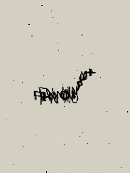 C[C@@H]1CN(c2cnc(C(F)(F)F)cn2)C[C@H](C)N1C(=O)NCC1CC2(C1)CN(CC(C)(C)C)C2